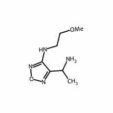 COCCNc1nonc1C(C)N